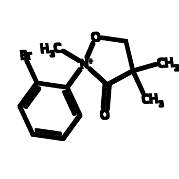 CC1(C)CO[N+](C)(c2ccccc2Br)C1=O